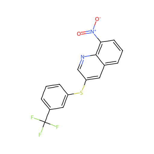 O=[N+]([O-])c1cccc2cc(Sc3cccc(C(F)(F)F)c3)cnc12